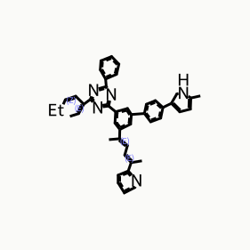 C/C=C(\C=C/CC)c1nc(-c2ccccc2)nc(-c2cc(/C(C)=C/C=C(\C)c3ccccn3)cc(-c3ccc(C4=CC=C(C)NC4)cc3)c2)n1